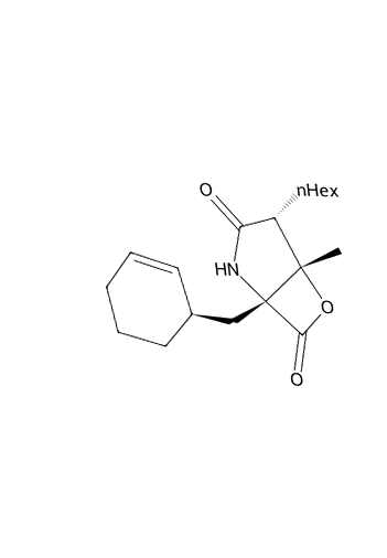 CCCCCC[C@H]1C(=O)N[C@@]2(C[C@@H]3C=CCCC3)C(=O)O[C@@]12C